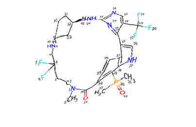 CN1CCC(F)(F)CN[C@H]2CC[C@@H](C2)Nc2ncc(C(F)(F)F)c(n2)-c2c[nH]c3c(P(C)(C)=O)c(ccc23)C1=O